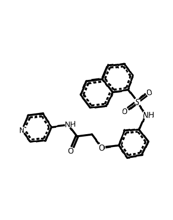 O=C(COc1cccc(NS(=O)(=O)c2cccc3ccccc23)c1)Nc1ccncc1